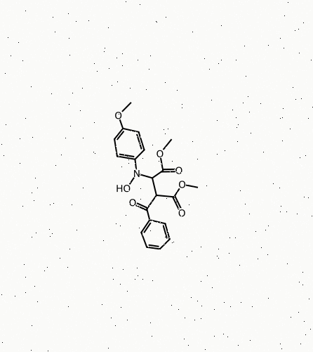 COC(=O)C(C(=O)c1ccccc1)C(C(=O)OC)N(O)c1ccc(OC)cc1